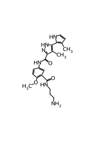 COc1ccc(NC(=O)c2n[nH]c(-c3[nH]ccc3C)c2C)cc1C(=O)NCCCN